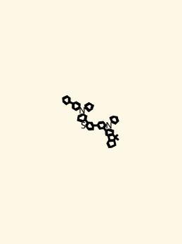 CC1(C)C2=C(C=CCC2)c2cc3c4cc(-c5ccc6sc7ccc(N(c8ccccc8)c8ccc(-c9ccccc9)cc8)cc7c6c5)ccc4n(-c4ccccc4)c3cc21